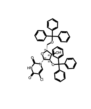 O=c1[nH]c(=O)n([C@@H]2O[C@H](COC(c3ccccc3)(c3ccccc3)c3ccccc3)[C@@H](O)[C@H]2OC(c2ccccc2)(c2ccccc2)c2ccccc2)cc1Cl